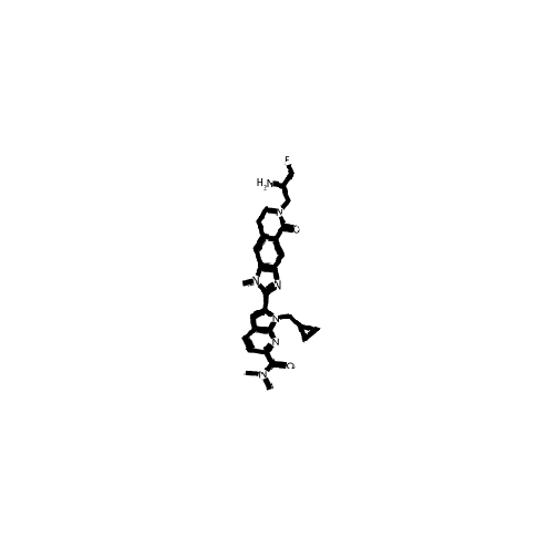 CN(C)C(=O)c1ccc2cc(-c3nc4cc5c(cc4n3C)CCN(CC(N)CF)C5=O)n(CC3CC3)c2n1